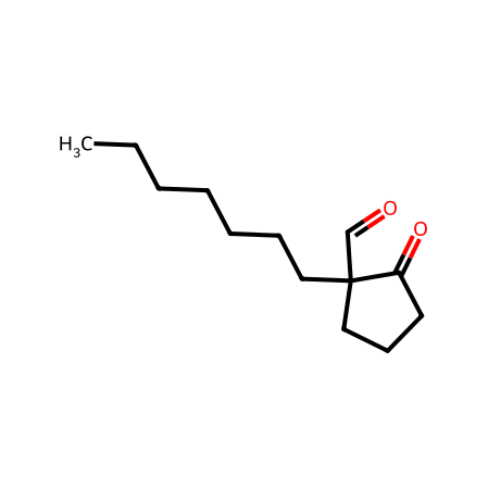 CCCCCCCC1(C=O)CCCC1=O